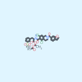 CC(OC(=O)C(C)C)OC(=O)C(Cc1cccc(S(C)(=O)=O)c1)NC(=O)c1c(Cl)cc2c(c1Cl)CCN(C(=O)c1ccc3ccoc3c1)C2